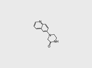 O=C1CN(c2ccc3ncccc3c2)CCN1